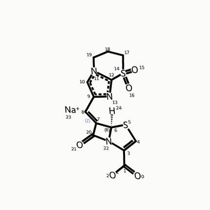 O=C([O-])C1=CS[C@@H]2/C(=C\c3cn4c(n3)S(=O)(=O)CCC4)C(=O)N12.[Na+]